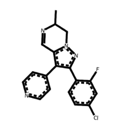 CC1Cn2nc(-c3ccc(Cl)cc3F)c(-c3ccncc3)c2C=N1